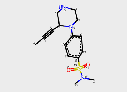 CC#CC1CNCCN1c1ccc(S(=O)(=O)N(C)C)cc1